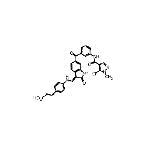 Cn1ncc(C(=O)Nc2cccc(C(=O)c3ccc4c(c3)NC(=O)C4=CNc3ccc(CCC(=O)O)cc3)c2)c1Cl